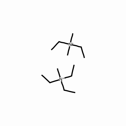 CC[N+](C)(C)CC.CC[N+](C)(CC)CC